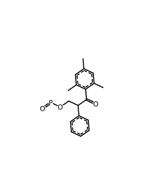 Cc1cc(C)c(C(=O)C(COP=O)c2ccccc2)c(C)c1